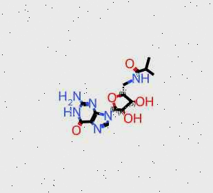 CC(C)C(=O)NC[C@H]1O[C@@H](n2cnc3c(=O)[nH]c(N)nc32)[C@H](O)[C@@H]1O